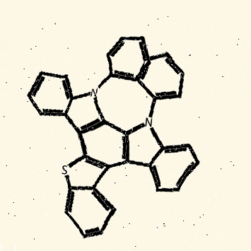 c1ccc(-n2c3ccccc3c3c4sc5ccccc5c4c4c5ccccc5n(-c5cccnc5)c4c32)cc1